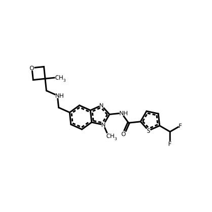 Cn1c(NC(=O)c2ccc(C(F)F)s2)nc2cc(CNCC3(C)COC3)ccc21